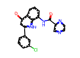 O=C(Nc1cccc2c(=O)cc(-c3cccc(Cl)c3)[nH]c12)c1cnccn1